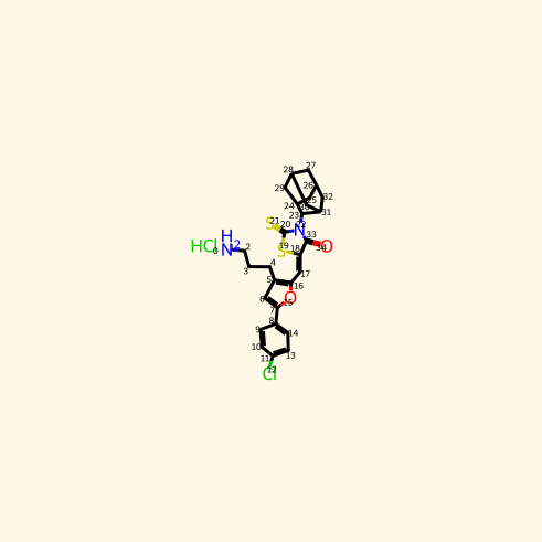 Cl.NCCCc1cc(-c2ccc(Cl)cc2)oc1C=C1SC(=S)N(C2C3CC4CC(C3)CC2C4)C1=O